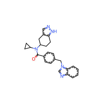 O=C(c1ccc(Cn2cnc3ccccc32)cc1)N(C1CC1)C1CCc2[nH]ncc2C1